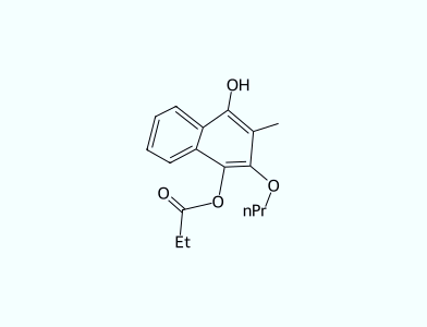 CCCOc1c(C)c(O)c2ccccc2c1OC(=O)CC